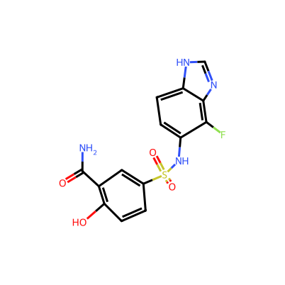 NC(=O)c1cc(S(=O)(=O)Nc2ccc3[nH]cnc3c2F)ccc1O